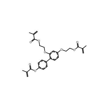 C=C(C)C(=O)OCCOc1ccc(-c2ccc(OC(=O)C(=C)C)cc2)c(OCCOC(=O)C(=C)C)c1